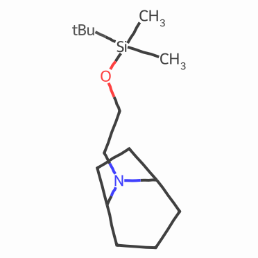 CC(C)(C)[Si](C)(C)OCCN1C2CCCC1CC2